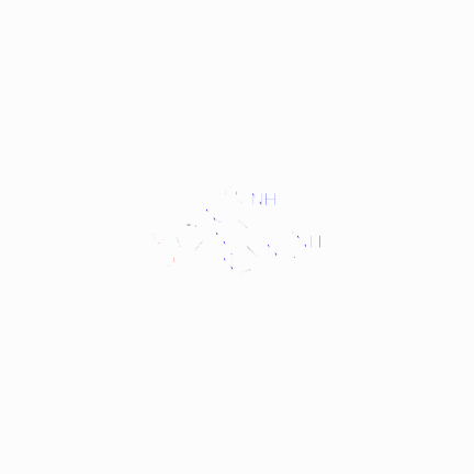 CNC(=O)c1cc2c(N3C[C@@H](C)N[C@@H](C)C3)cc(C)nc2n2c1nc1cc3c(cc12)OCO3